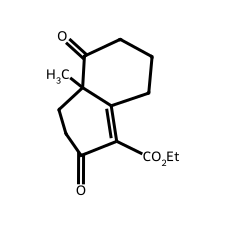 CCOC(=O)C1=C2CCCC(=O)C2(C)CCC1=O